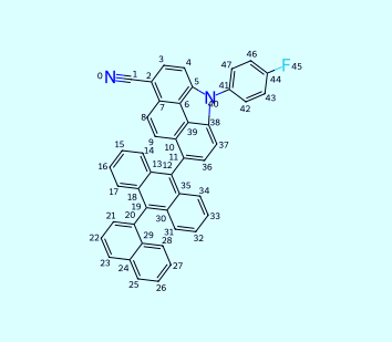 N#Cc1ccc2c3c1ccc1c(-c4c5ccccc5c(-c5cccc6ccccc56)c5ccccc45)ccc(c13)n2-c1ccc(F)cc1